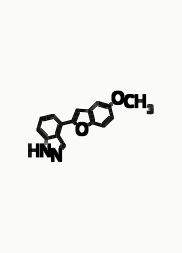 COc1ccc2oc(-c3cccc4[nH]ncc34)cc2c1